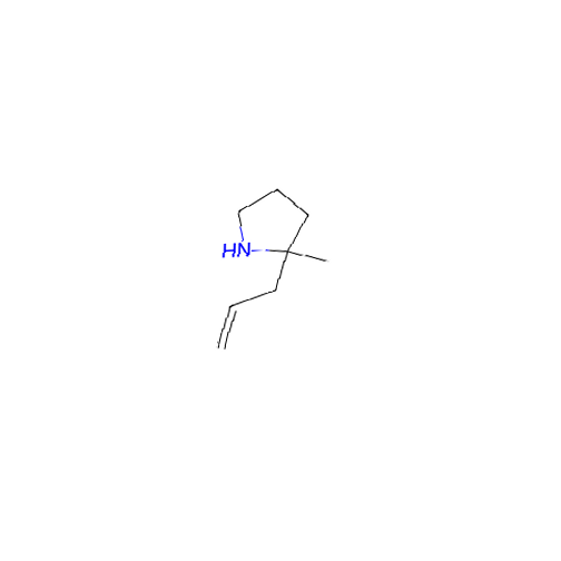 C=CCC1(C)CCCN1